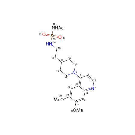 COc1cc2nccc(N3CCC(CCNS(=O)(=O)NC(C)=O)CC3)c2cc1OC